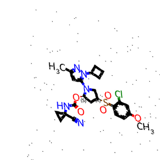 COc1ccc(S(=O)(=O)[C@@H]2C[C@H](OC(=O)NC3(C#N)CC3)N(c3cc(C)nn3C3CCC3)C2)c(Cl)c1